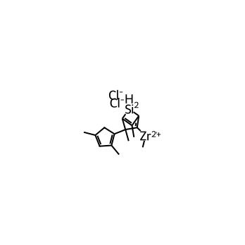 CC1=CC(C)=C(C2(C)C3=C(C)C(=[C]2[Zr+2]([CH3])[CH3])[SiH2]3)C1.[Cl-].[Cl-]